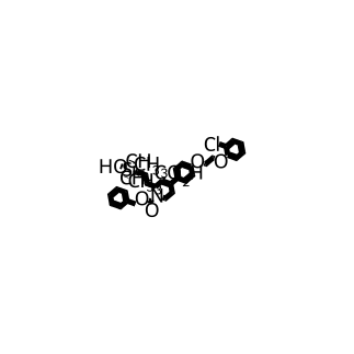 CC(C)(CCC1C(C(=O)O)=C(c2ccc(OCCOc3ccccc3Cl)cc2)CCN1C(=O)OCc1ccccc1)[Si](C)(C)O